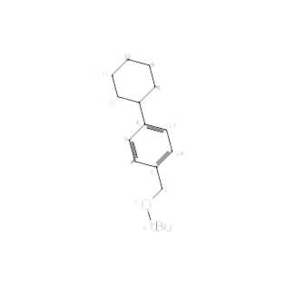 CC(C)(C)OCc1ccc(C2CCCCC2)cc1